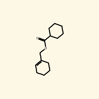 O=C(OCC1=CCCCC1)C1CCCCC1